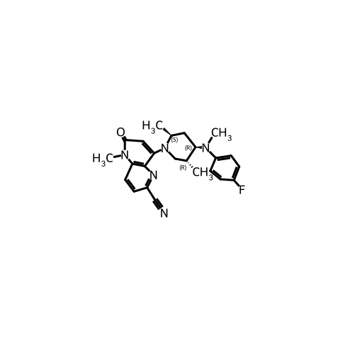 C[C@@H]1CN(c2cc(=O)n(C)c3ccc(C#N)nc23)[C@@H](C)C[C@H]1N(C)c1ccc(F)cc1